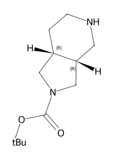 CC(C)(C)OC(=O)N1C[C@H]2CNCC[C@H]2C1